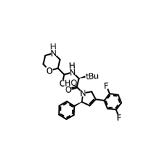 CC(C)(C)[C@H](NC(C=O)C1CNCCO1)C(=O)N1CC(c2cc(F)ccc2F)=C[C@H]1c1ccccc1